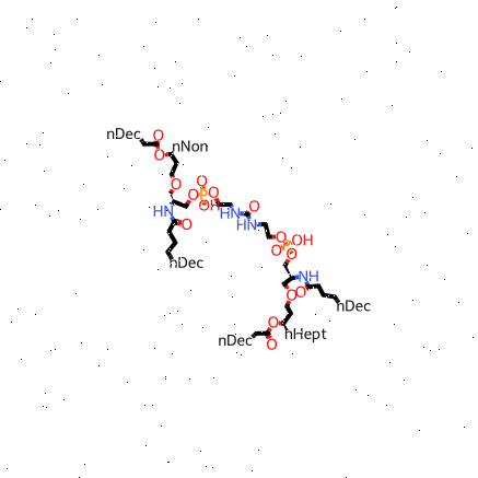 CCCCCCCCCCCCCC(=O)N[C@H](COCC[C@@H](CCCCCCCCC)OC(=O)CCCCCCCCCCC)COP(=O)(O)OCCNC(=O)NCCOP(=O)(O)OC[C@H](COCC[C@@H](CCCCCCC)OC(=O)CCCCCCCCCCC)NC(=O)CCCCCCCCCCCCC